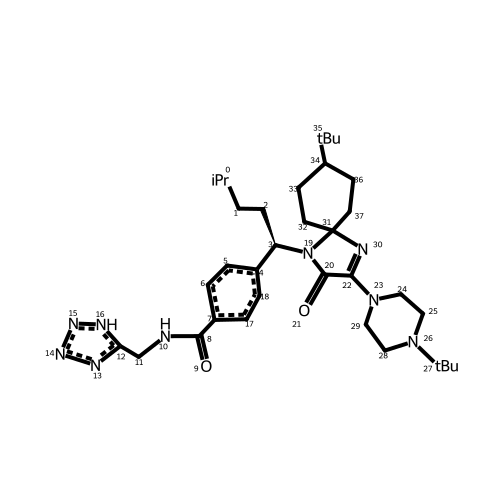 CC(C)CC[C@H](c1ccc(C(=O)NCc2nnn[nH]2)cc1)N1C(=O)C(N2CCN(C(C)(C)C)CC2)=NC12CCC(C(C)(C)C)CC2